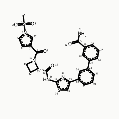 CS(=O)(=O)n1ccc(C(=O)N2CC[C@H]2C(=O)Nc2nc(-c3cccc(-c4cccc(C(N)=O)c4)c3)cs2)c1